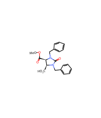 COOC(=O)[C@@H]1[C@H](C(=O)O)N(Cc2ccccc2)C(=O)N1Cc1ccccc1